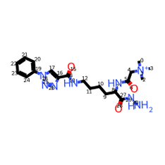 C[N+](C)(C)CC(=O)NC(CCCCNC(=O)c1cn(-c2ccccc2)nn1)C(=O)NN